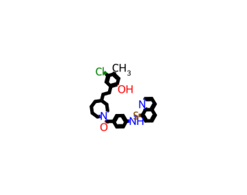 Cc1cc(O)c(CCC2CCCCN(C(=O)c3ccc(NSc4cccc5cccnc45)cc3)CC2)cc1Cl